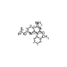 Cc1ccccc1-n1c(=O)nc(N)c2ccc(OC(F)F)nc21